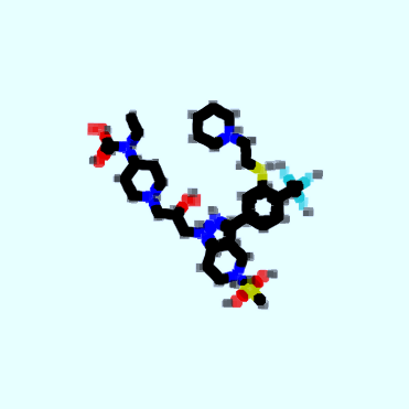 CCN(C(=O)O)C1CCN(CC(O)Cn2nc(-c3ccc(C(F)(F)F)c(SCCN4CCCCC4)c3)c3c2CCN(S(C)(=O)=O)C3)CC1